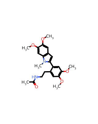 COc1cc(CCNC(C)=O)c(-c2cc3cc(OC)c(OC)cc3n2C)cc1OC